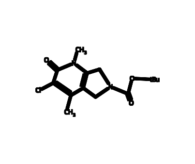 Cc1c2c(n(C)c(=O)c1Cl)CN(C(=O)OC(C)(C)C)C2